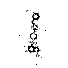 COc1cccc(Cc2csc(N3CCN(S(=O)(=O)c4cccc5c4ccn5C)CC3)n2)c1